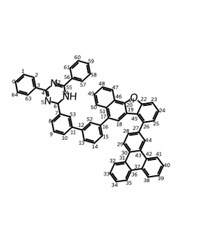 c1ccc(C2=NC(c3cccc(-c4cccc(-c5cc6c(oc7cccc(-c8ccc9c%10ccccc%10c%10ccccc%10c9c8)c76)c6ccccc56)c4)c3)NC(c3ccccc3)=N2)cc1